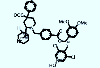 COc1ccc([C@H](Cc2c(Cl)c[n+](O)cc2Cl)OC(=O)c2ccc(CN3CCC(C(=O)[O-])(c4ccccc4)CC3[C@H]3CN4CCC3CC4)cc2)cc1OC